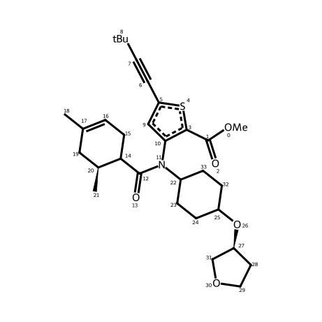 COC(=O)c1sc(C#CC(C)(C)C)cc1N(C(=O)C1CC=C(C)C[C@@H]1C)C1CCC(O[C@H]2CCOC2)CC1